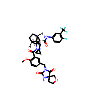 COc1ccc(CN2C(=O)NC3(CCOC3)C2=O)cc1C(=O)N[C@H]1[C@@H](C(=O)Nc2ccc(F)c(C(F)(F)F)c2)[C@H]2CC[C@@H]1/C2=C\C1CC1